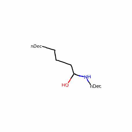 CCCCCCCCCCCCCC(O)NCCCCCCCCCC